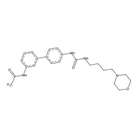 CC(=O)Nc1cccc(-c2ccc(NC(=O)NCCCCN3CCOCC3)cc2)c1